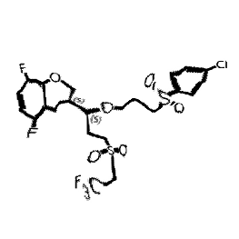 O=S(=O)(CC[C@H](OCCCS(=O)(=O)c1ccc(Cl)cc1)[C@@H]1COc2c(F)ccc(F)c2C1)CC(F)(F)F